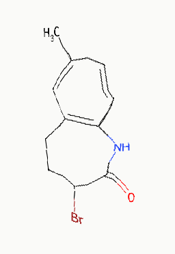 Cc1ccc2c(c1)CCC(Br)C(=O)N2